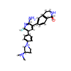 CN(C)C1CCN(c2ccc(-c3cc(-c4ccc5c(c4)CCNC5=O)c(N)nc3F)cc2)C1